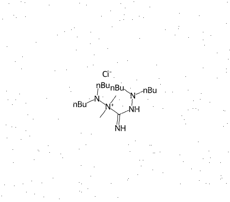 CCCCN(CCCC)NC(=N)[N+](C)(C)N(CCCC)CCCC.[Cl-]